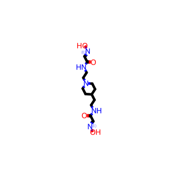 O=C(/C=N/O)NCCC1CCN(CCNC(=O)/C=N/O)CC1